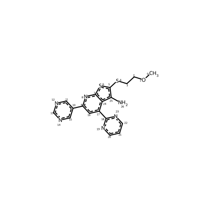 COCCSc1sc2nc(-c3cncnc3)cc(-c3ncccn3)c2c1N